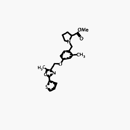 COC(=O)C1CCCN1Cc1ccc(OCc2nc(-c3cccs3)oc2C)cc1C